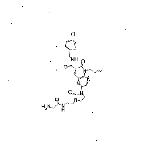 NCC(=O)NCCN1CCN(c2cnc3c(cc(C(=O)NCc4ccc(Cl)cc4)c(=O)n3CC=O)n2)C1=O